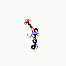 Cc1nc2n(c(=O)c1CCN1CCC(c3noc4cc(F)ccc34)CC1)CCCC2OCCCCCC(=O)O